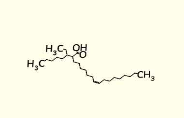 CCCCCCCC/C=C\CCCCCCC(C(=O)O)C(CC)CCCCC